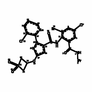 CC(C)NC(=O)c1cc(Cl)cc(Br)c1NC(=O)c1cc(OC2CS(=O)(=O)C2)nn1-c1ncccc1Cl